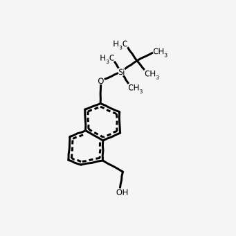 CC(C)(C)[Si](C)(C)Oc1ccc2c(CO)cccc2c1